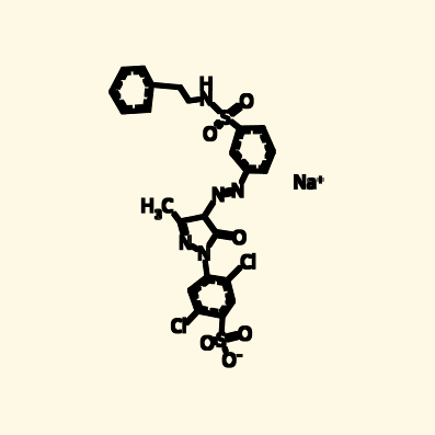 CC1=NN(c2cc(Cl)c(S(=O)(=O)[O-])cc2Cl)C(=O)C1N=Nc1cccc(S(=O)(=O)NCCc2ccccc2)c1.[Na+]